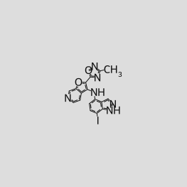 Cc1noc(-c2oc3cnccc3c2Nc2ccc(I)c3[nH]ncc23)n1